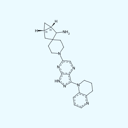 NC1[C@H]2C[C@H]2CC12CCN(c1cnc3c(N4CCCc5ncccc54)n[nH]c3n1)CC2